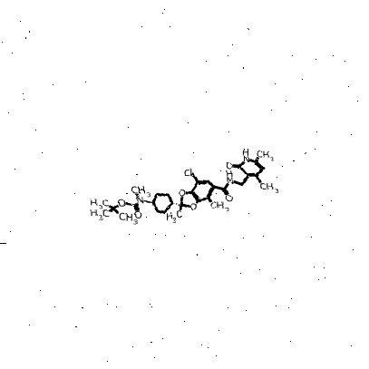 Cc1cc(C)c(CNC(=O)c2cc(Cl)c3c(c2C)OC(C)([C@H]2CC[C@H](N(C)C(=O)OC(C)(C)C)CC2)O3)c(=O)[nH]1